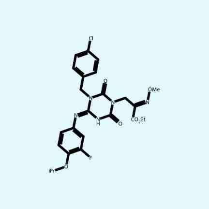 CCOC(=O)/C(Cn1c(=O)[nH]/c(=N\c2ccc(OC(C)C)c(F)c2)n(Cc2ccc(Cl)cc2)c1=O)=N/OC